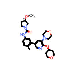 Cc1ccc(NC(=O)N2CC[C@H](OC(F)(F)F)C2)cc1-c1cnc(OC2CCOCC2)c(N2CCOCC2)c1